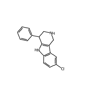 Clc1ccc2[nH]c3c(c2c1)CNCC3c1ccccc1